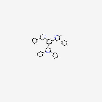 C1=C(c2ccccc2)CCN=C1c1cc(-c2cc(-c3ccccc3)nc(-c3ccccc3)c2)cc(-c2cc(-c3ccccc3)ccn2)c1